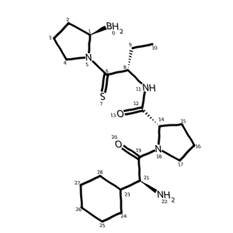 B[C@@H]1CCCN1C(=S)[C@H](CC)NC(=O)[C@@H]1CCCN1C(=O)[C@@H](N)C1CCCCC1